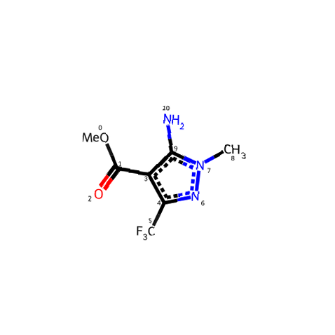 COC(=O)c1c(C(F)(F)F)nn(C)c1N